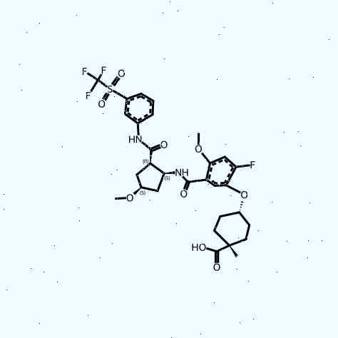 COc1cc(F)c(O[C@H]2CC[C@@](C)(C(=O)O)CC2)cc1C(=O)N[C@H]1C[C@@H](OC)C[C@H]1C(=O)Nc1cccc(S(=O)(=O)C(F)(F)F)c1